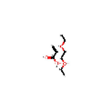 C=CC(=O)O.CCOCCOCC